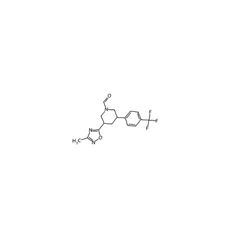 Cc1noc(C2CC(c3ccc(C(F)(F)F)cc3)CN(C=O)C2)n1